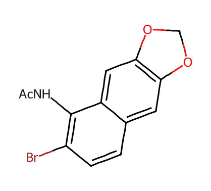 CC(=O)Nc1c(Br)ccc2cc3c(cc12)OCO3